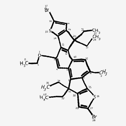 CCOc1cc2c3c(c(C)cc2c2c1-c1sc(Br)cc1C2(CC)CC)-c1sc(Br)cc1C3(CC)CC